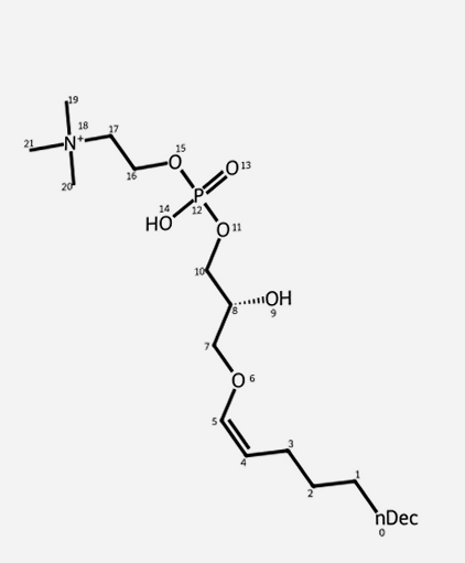 CCCCCCCCCCCCC/C=C\OC[C@@H](O)COP(=O)(O)OCC[N+](C)(C)C